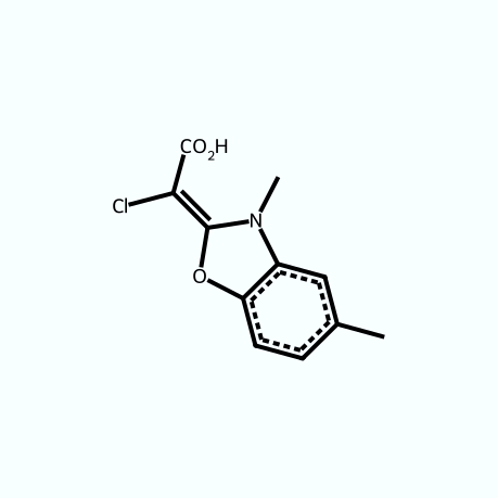 Cc1ccc2c(c1)N(C)C(=C(Cl)C(=O)O)O2